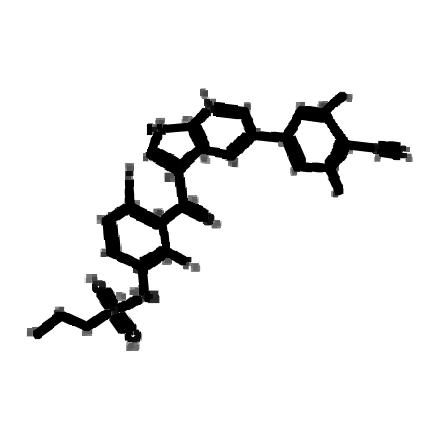 [C-]#[N+]c1c(C)cc(-c2cnc3[nH]cc(C(=O)c4c(F)ccc(NS(=O)(=O)CCC)c4F)c3c2)cc1C